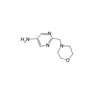 Nc1cnc(CN2CCOCC2)nc1